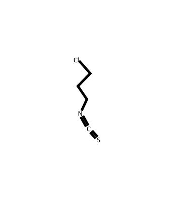 S=C=NCCCCl